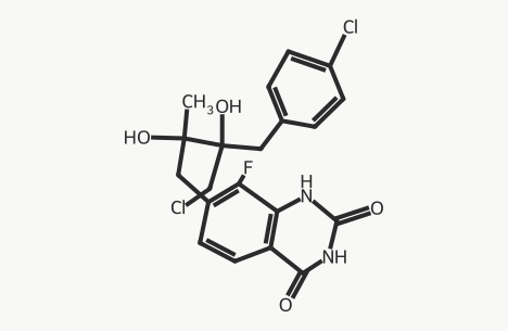 CC(O)(Cc1ccc2c(=O)[nH]c(=O)[nH]c2c1F)C(O)(CCl)Cc1ccc(Cl)cc1